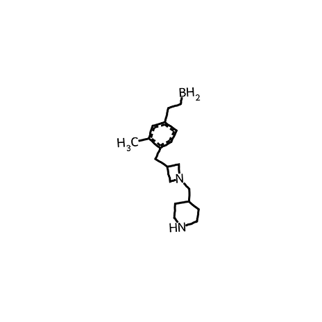 BCCc1ccc(CC2CN(CC3CCNCC3)C2)c(C)c1